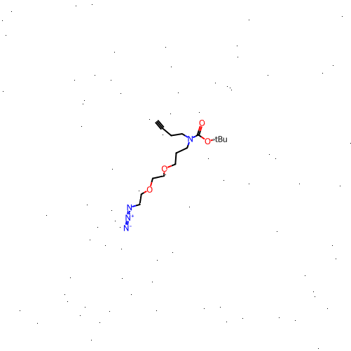 C#CCCN(CCCOCCOCCN=[N+]=[N-])C(=O)OC(C)(C)C